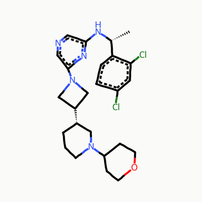 C[C@@H](Nc1cncc(N2CC([C@H]3CCCN(C4CCOCC4)C3)C2)n1)c1ccc(Cl)cc1Cl